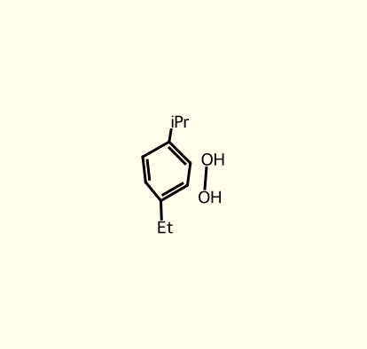 CCc1ccc(C(C)C)cc1.OO